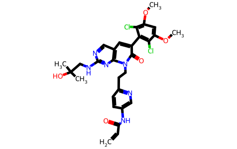 C=CC(=O)Nc1ccc(CCn2c(=O)c(-c3c(Cl)c(OC)cc(OC)c3Cl)cc3cnc(NCC(C)(C)O)nc32)nc1